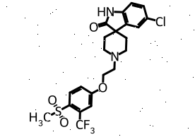 CS(=O)(=O)c1ccc(OCCN2CCC3(CC2)C(=O)Nc2ccc(Cl)cc23)cc1C(F)(F)F